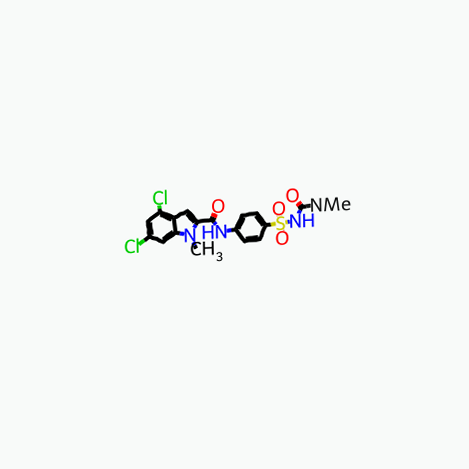 CNC(=O)NS(=O)(=O)c1ccc(NC(=O)c2cc3c(Cl)cc(Cl)cc3n2C)cc1